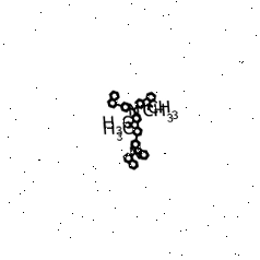 CC1(C)c2ccccc2-c2ccc(N(c3ccc(-c4cccc5ccccc45)cc3)c3ccc4c(c3)C(C)(C)c3cc(-c5ccc6c(c5)c5ccccc5n6-c5cccc6ccccc56)ccc3-4)cc21